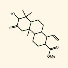 C=CC1C(C(=O)OC)CCC2C1CCC1C(C)(C)C(O)C(=O)CC21C